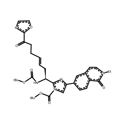 CCn1ccc2cc(-c3cn(C(=O)OC(C)(C)C)c([C@H](C/C=C/CCC(=O)c4ncco4)NC(=O)OC(C)(C)C)n3)ccc2c1=O